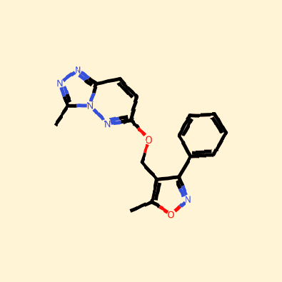 Cc1onc(-c2ccccc2)c1COc1ccc2nnc(C)n2n1